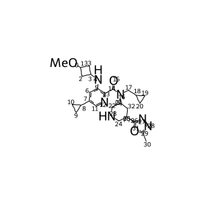 COC1CC(Nc2cc(C3CC3)cnc2C(=O)N(CC2CC2)[C@@H]2CNC[C@H](c3nnc(C)o3)C2)C1